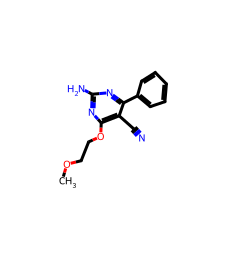 COCCOc1nc(N)nc(-c2ccccc2)c1C#N